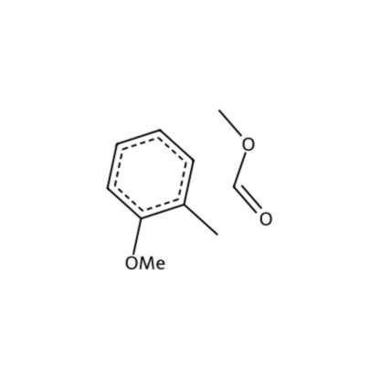 COC=O.COc1ccccc1C